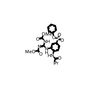 COC(=O)N=C(NC(=O)OC)Nc1cc(S(=O)(=O)Oc2ccccc2)ccc1NC(=O)C(C)C